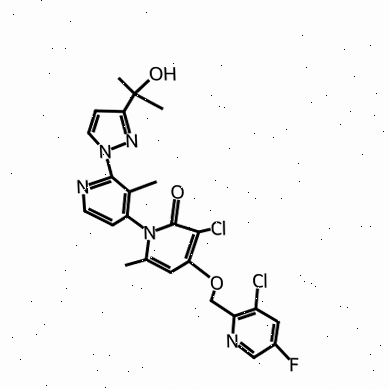 Cc1c(-n2c(C)cc(OCc3ncc(F)cc3Cl)c(Cl)c2=O)ccnc1-n1ccc(C(C)(C)O)n1